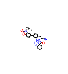 Cn1c(=O)oc2ccc(-c3ccc(C[C@@H](C#N)NC(=O)C4(N)CCCCC4)cc3)cc21